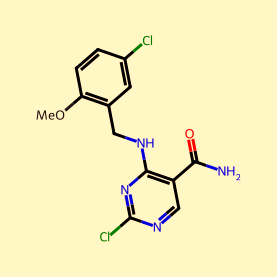 COc1ccc(Cl)cc1CNc1nc(Cl)ncc1C(N)=O